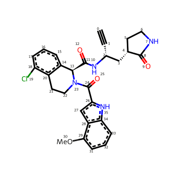 C#C[C@H](C[C@@H]1CCNC1=O)NC(=O)[C@@H]1c2cccc(Cl)c2CCN1C(=O)c1cc2c(OC)cccc2[nH]1